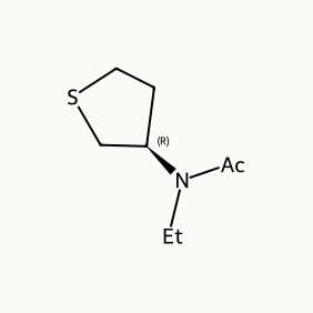 CCN(C(C)=O)[C@@H]1CCSC1